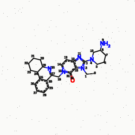 CCn1c(N2CCCC(N)C2)nc2ccn(CC3=NC4CCCCC4c4ccccc43)c(=O)c21